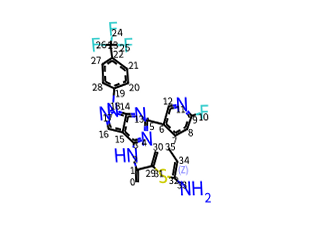 C=C(Nc1nc(-c2ccc(F)nc2)nc2c1cnn2-c1ccc(C(F)(F)F)cc1)C(=C)S/C(N)=C\C